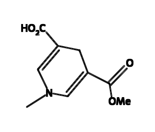 COC(=O)C1=CN(C)C=C(C(=O)O)C1